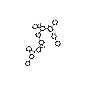 c1ccc(-c2ccc(-c3nc(-c4ccccc4)nc(-c4cc(-c5cccc(-c6ccc7oc8ccc(-n9c%10ccccc%10c%10cc(-c%11ccccc%11)ccc%109)cc8c7c6)c5)c5c(c4)oc4ccccc45)n3)cc2)cc1